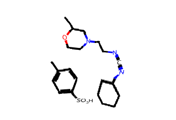 CC1CN(CCN=C=NC2CCCCC2)CCO1.Cc1ccc(S(=O)(=O)O)cc1